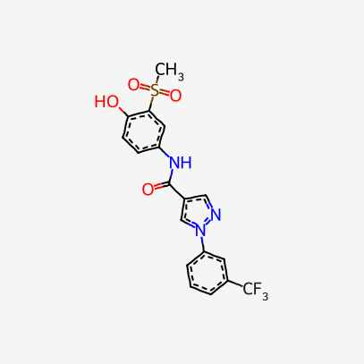 CS(=O)(=O)c1cc(NC(=O)c2cnn(-c3cccc(C(F)(F)F)c3)c2)ccc1O